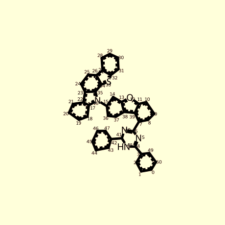 c1ccc(C2=NC(c3cccc4oc5cc(-n6c7ccccc7c7ccc8c9ccccc9sc8c76)ccc5c34)=NC(c3ccccc3)N2)cc1